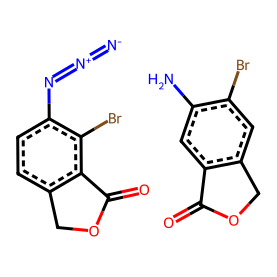 Nc1cc2c(cc1Br)COC2=O.[N-]=[N+]=Nc1ccc2c(c1Br)C(=O)OC2